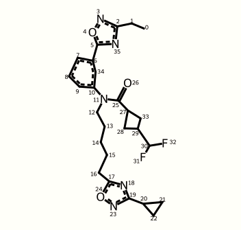 CCc1noc(-c2cccc(N(CCCCCc3nc(C4CC4)no3)C(=O)C3CC(C(F)F)C3)c2)n1